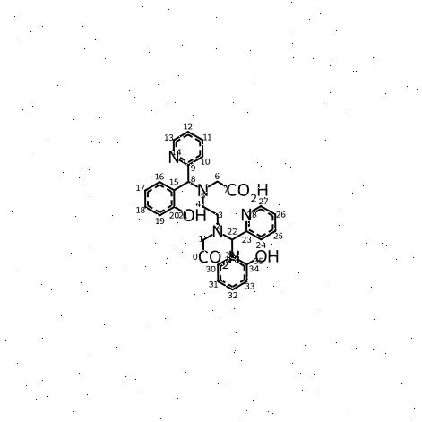 O=C(O)CN(CCN(CC(=O)O)C(c1ccccn1)c1ccccc1O)C(c1ccccn1)c1ccccc1O